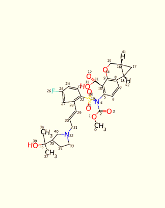 COC(=O)N(c1ccc2c(c1C(=O)O)OC[C@@H]1C[C@H]21)S(=O)(=O)c1ccc(F)cc1C=CCN1CCC(C(C)(C)O)C1